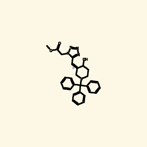 COC(=O)Cn1nnnc1/C=C1/CN(C(c2ccccc2)(c2ccccc2)c2ccccc2)CCC1O